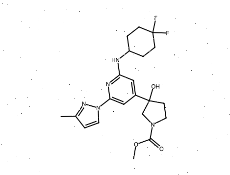 COC(=O)N1CCC(O)(c2cc(NC3CCC(F)(F)CC3)nc(-n3ccc(C)n3)c2)C1